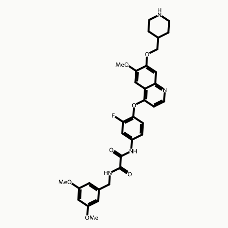 COc1cc(CNC(=O)C(=O)Nc2ccc(Oc3ccnc4cc(OCC5CCNCC5)c(OC)cc34)c(F)c2)cc(OC)c1